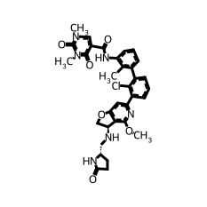 COc1nc(-c2cccc(-c3cccc(NC(=O)c4cn(C)c(=O)n(C)c4=O)c3C)c2Cl)cc2c1[C@@H](NC[C@@H]1CCC(=O)N1)CO2